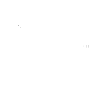 NC(=O)c1cccc2nc(C3CNC4CCC43)oc12